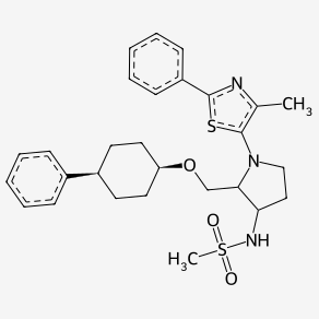 Cc1nc(-c2ccccc2)sc1N1CCC(NS(C)(=O)=O)C1CO[C@H]1CC[C@@H](c2ccccc2)CC1